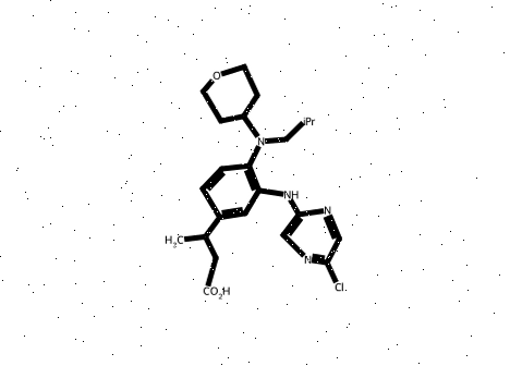 CC(C)CN(c1ccc(C(C)CC(=O)O)cc1Nc1cnc(Cl)cn1)C1CCOCC1